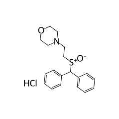 Cl.[O-][S+](CCN1CCOCC1)C(c1ccccc1)c1ccccc1